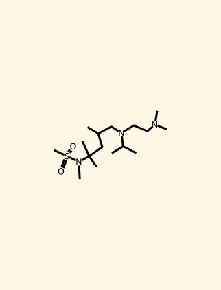 CC(CN(CCN(C)C)C(C)C)CC(C)(C)N(C)S(C)(=O)=O